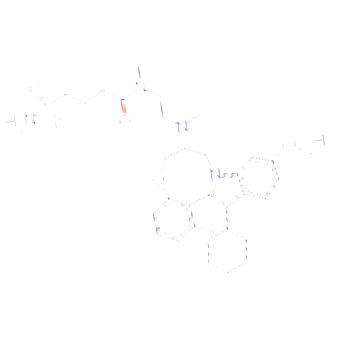 Cc1cccc2c1-c1c(C3CCCCC3)c3ccc(C(=O)O)cc3n1C[C@@H](N(C)CCN(C)C(=O)CCCS(N)(=O)=O)CO2